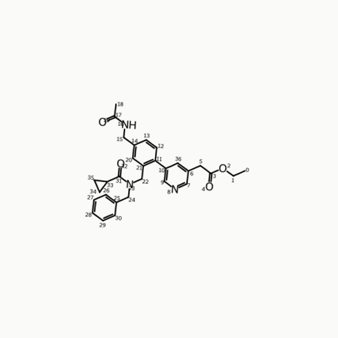 CCOC(=O)Cc1cncc(-c2ccc(CNC(C)=O)cc2CN(Cc2ccccc2)C(=O)C2CC2)c1